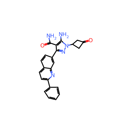 NC(=O)c1c(-c2ccc3ccc(-c4ccccc4)nc3c2)nn(C2CC(=O)C2)c1N